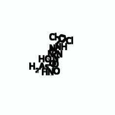 CNC(=O)[C@@H]1O[C@@H](n2cnc3c(NCc4cc(Cl)ccc4Cl)ncnc32)[C@@H](O)[C@@H]1[AsH2]